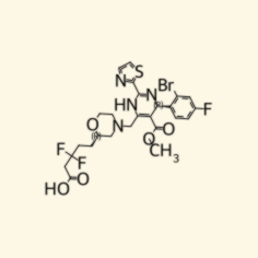 COC(=O)C1=C(CN2CCO[C@H](CCC(F)(F)CC(=O)O)C2)NC(c2nccs2)=N[C@H]1c1ccc(F)cc1Br